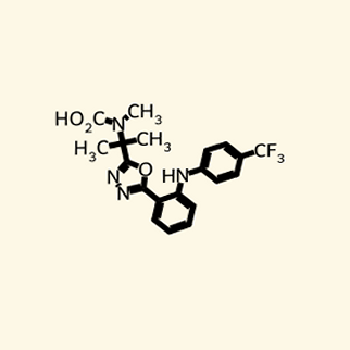 CN(C(=O)O)C(C)(C)c1nnc(-c2ccccc2Nc2ccc(C(F)(F)F)cc2)o1